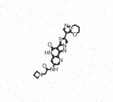 O=C(CN1CCC1)Nc1cnc2c(c1)[nH]c(=O)c1c2nn2cc(-c3cnn4c3OCCC4)sc12